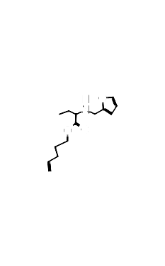 C=CCCCOC(=O)C(CC)NCc1ccco1